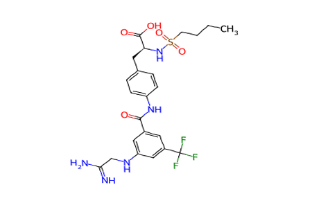 CCCCS(=O)(=O)N[C@@H](Cc1ccc(NC(=O)c2cc(NCC(=N)N)cc(C(F)(F)F)c2)cc1)C(=O)O